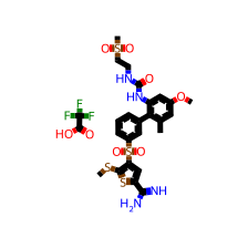 COc1cc(C)c(-c2cccc(S(=O)(=O)c3cc(C(=N)N)sc3SC)c2)c(NC(=O)NCCS(C)(=O)=O)c1.O=C(O)C(F)(F)F